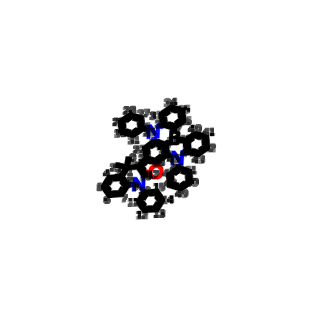 CC1(C)c2ccccc2N(c2ccccc2)c2oc3c4c5c(cc3c21)N(c1ccccc1)c1ccccc1B5c1ccccc1N4c1ccccc1